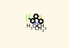 CC(C)(C)N(c1ccc(C(F)(F)F)cc1)c1cccc2sc3ccccc3c12